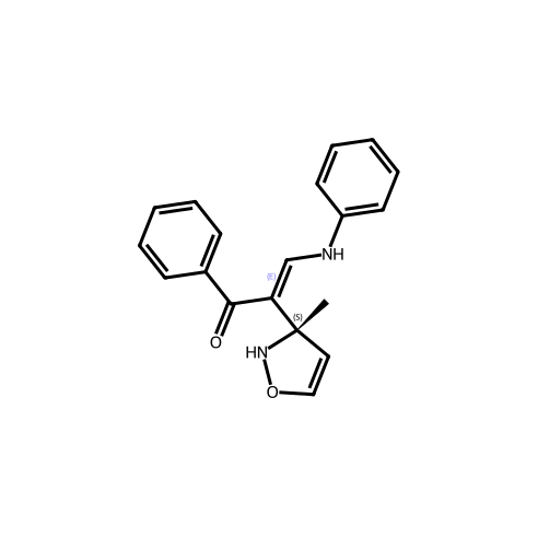 C[C@@]1(/C(=C\Nc2ccccc2)C(=O)c2ccccc2)C=CON1